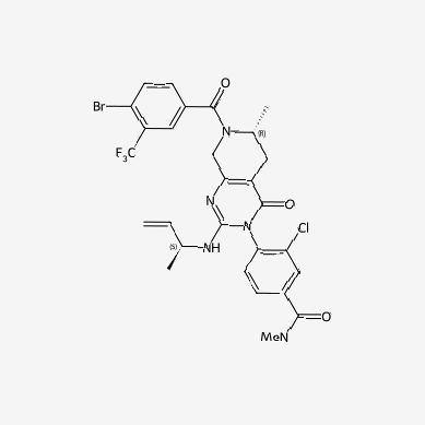 C=C[C@H](C)Nc1nc2c(c(=O)n1-c1ccc(C(=O)NC)cc1Cl)C[C@@H](C)N(C(=O)c1ccc(Br)c(C(F)(F)F)c1)C2